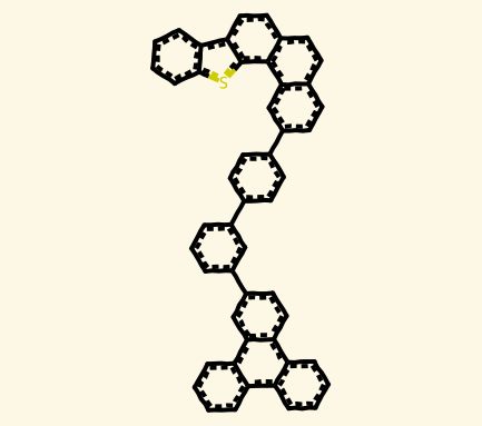 c1cc(-c2ccc(-c3ccc4ccc5ccc6c7ccccc7sc6c5c4c3)cc2)cc(-c2ccc3c4ccccc4c4ccccc4c3c2)c1